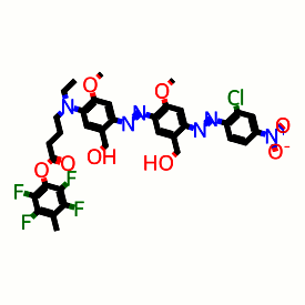 CCN(CCCC(=O)Oc1c(F)c(F)c(C)c(F)c1F)c1cc(CO)c(N=Nc2cc(CO)c(N=Nc3ccc([N+](=O)[O-])cc3Cl)cc2OC)cc1OC